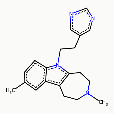 Cc1ccc2c(c1)c1c(n2CCc2cncnc2)CCN(C)CC1